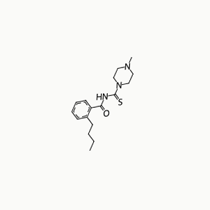 CCCCc1ccccc1C(=O)NC(=S)N1CCN(C)CC1